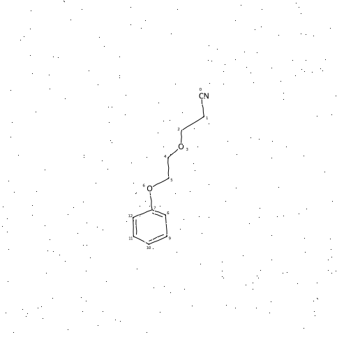 N#CCCOCCOc1ccccc1